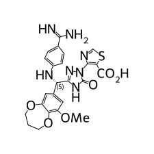 COc1cc([C@H](Nc2ccc(C(=N)N)cc2)c2nn(-c3ncsc3C(=O)O)c(=O)[nH]2)cc2c1OCCCO2